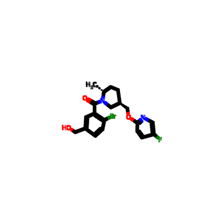 C[C@@H]1CC[C@@H](COc2ccc(F)cn2)CN1C(=O)c1cc(CO)ccc1Br